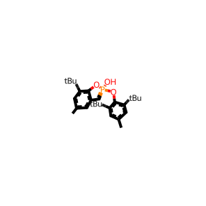 Cc1cc2c(c(C(C)(C)C)c1)OP(O)(Oc1c(C(C)(C)C)cc(C)cc1C(C)(C)C)=C2